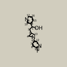 OC(CC1CN(c2ccc(F)nc2)C1)c1cccnc1